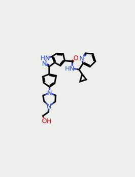 O=C(NC(c1ccccn1)C1CC1)c1ccc2[nH]nc(-c3ccc(N4CCN(CCO)CC4)cc3)c2c1